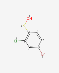 OSc1ccc(Br)cc1Cl